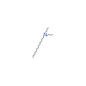 CCCCCCCCCCCCCCN(CCCC)CCCC